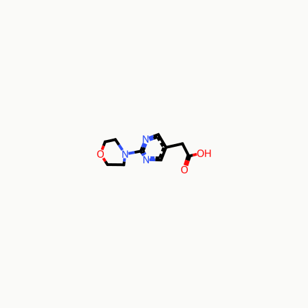 O=C(O)Cc1cnc(N2CCOCC2)nc1